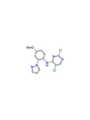 COc1ccc(Nc2nc(Cl)ncc2Cl)c(-n2cccn2)c1